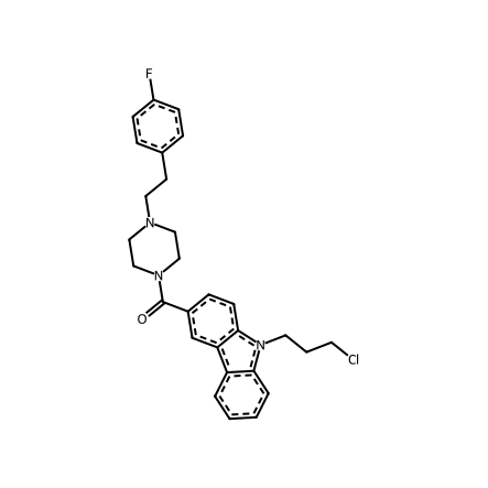 O=C(c1ccc2c(c1)c1ccccc1n2CCCCl)N1CCN(CCc2ccc(F)cc2)CC1